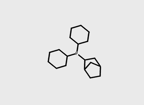 C1CCC(P(C2CCCCC2)C2CC3CCC2C3)CC1